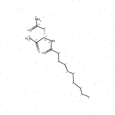 CCCCCCCCCC(=O)N[C@@H](CC(N)=O)C(N)=O